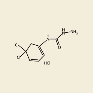 Cl.NNC(=O)NC1=CC=CC(Cl)(Cl)C1